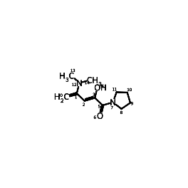 C=C(/C=C(\O)C(=O)N1CCCC1)N(C)C